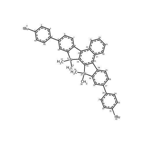 CC(C)(C)c1ccc(-c2ccc3c(c2)[Si](C)(C)c2c4c(c5ccccc5c2-3)-c2ccc(-c3ccc(C(C)(C)C)cc3)cc2[Si]4(C)C)cc1